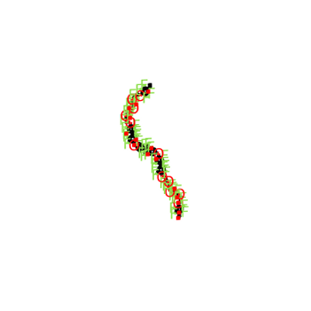 C=Cc1c(F)c(F)c(OCC(F)(F)OC(F)(F)C(F)(F)OC(F)(F)C(F)(F)OC(F)COc2c(F)c(F)c(-c3c(F)c(F)c(Oc4ccc(C(c5ccc(Oc6c(F)c(F)c(-c7c(F)c(F)c(OCC(F)(F)OC(F)(F)C(F)(F)OC(F)(F)C(F)(F)OC(F)(F)COc8c(F)c(F)c(C=C)c(F)c8F)c(F)c7F)c(F)c6F)cc5)(C(F)(F)F)C(F)(F)F)cc4)c(F)c3F)c(F)c2F)c(F)c1F